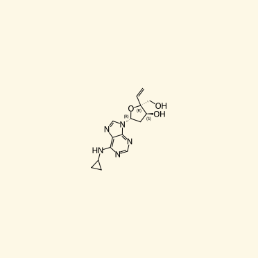 C=C[C@]1(CO)O[C@@H](n2cnc3c(NC4CC4)ncnc32)C[C@@H]1O